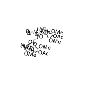 COc1cc(C[N+]2(C)[C@@H]3CC[C@H]2CC(OC(=O)CCC(=O)OC2C[C@H]4CC[C@@H](C2)[N+]4(C)Cc2cc(OC)c(OC(C)=O)c(OC)c2)C3)cc(OC)c1OC(C)=O.[Br-].[Br-]